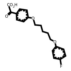 O=C(O)C(=O)c1ccc(OCCCCCOc2ccc(F)cc2)cc1